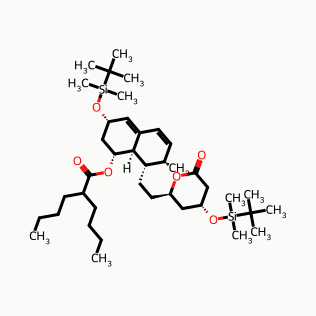 CCCCC(CCCC)C(=O)O[C@@H]1C[C@H](O[Si](C)(C)C(C)(C)C)C=C2C=C[C@H](C)[C@H](CC[C@@H]3C[C@@H](O[Si](C)(C)C(C)(C)C)CC(=O)O3)[C@H]21